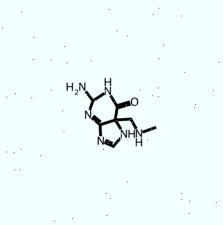 CNCC12NC=NC1=NC(N)NC2=O